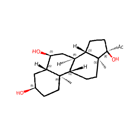 CC(=O)[C@@]1(O)CC[C@H]2[C@@H]3C[C@H](O)[C@H]4C[C@H](O)CC[C@]4(C)[C@H]3CC[C@@]21C